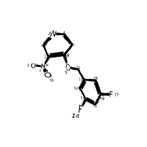 O=[N+]([O-])c1cnccc1OCc1cc(F)cc(F)c1